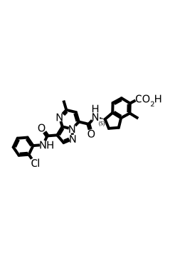 Cc1cc(C(=O)N[C@H]2CCc3c2ccc(C(=O)O)c3C)n2ncc(C(=O)Nc3ccccc3Cl)c2n1